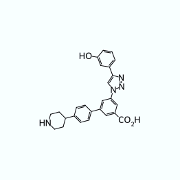 O=C(O)c1cc(-c2ccc(C3CCNCC3)cc2)cc(-n2cc(-c3cccc(O)c3)nn2)c1